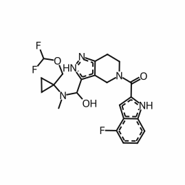 CN(C(O)c1[nH]nc2c1CN(C(=O)c1cc3c(F)cccc3[nH]1)CC2)C1(COC(F)F)CC1